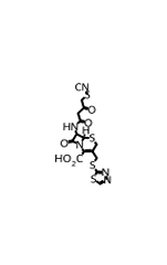 N#CSCC(=O)CC(=O)NC1C(=O)N2C(C(=O)O)=C(CSc3nncs3)CS[C@@H]12